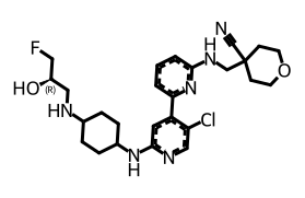 N#CC1(CNc2cccc(-c3cc(NC4CCC(NC[C@@H](O)CF)CC4)ncc3Cl)n2)CCOCC1